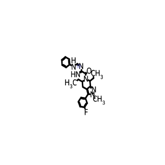 CCC1Cc2c(nn(C)c2-c2cccc(F)c2)C(CC)N1C(=O)C(=N)/N=C\Nc1ccccc1